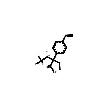 C=Cc1ccc(C(CC)(C(=O)O)[C@@H](C)C(F)(F)F)cc1